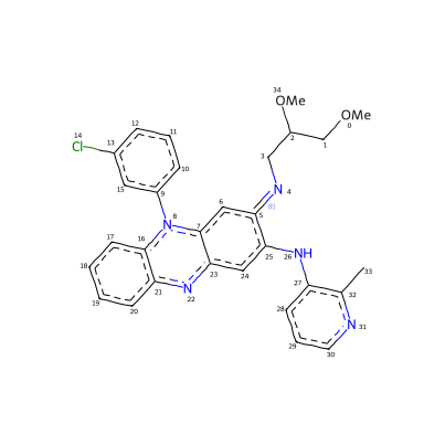 COCC(C/N=c1\cc2n(-c3cccc(Cl)c3)c3ccccc3nc-2cc1Nc1cccnc1C)OC